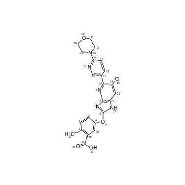 Cc1ccc(Oc2nc3nc(-c4ccc(N5CCOCC5)nc4)c(Cl)cc3[nH]2)cc1C(=O)O